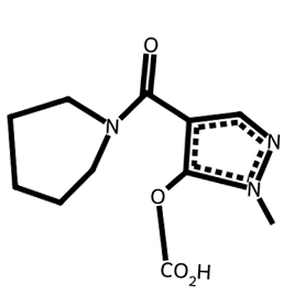 Cn1ncc(C(=O)N2CCCCC2)c1OC(=O)O